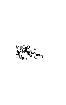 C=C(ON=C(C(=O)OC)c1csc(NC(=O)CCl)n1)C(=O)OC(C)(C)C